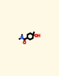 CN(C)C(=O)C1CCC(C)(O)CC1